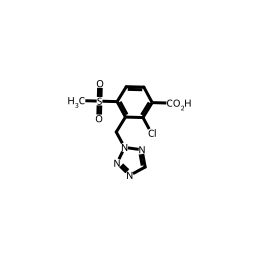 CS(=O)(=O)c1ccc(C(=O)O)c(Cl)c1Cn1ncnn1